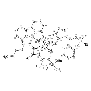 C=CCOC(=O)C(N1C(=O)[C@H]([C@@H](C)O[Si](C)(C)C(C)(C)C)[C@@H]1[C@](C)(C=O)c1cn2cnc(C(O[Si](CC)(CC)CC)c3cccnc3)c2s1)=P(c1ccccc1)(c1ccccc1)c1ccccc1